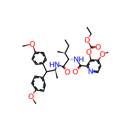 CCOC(=O)Oc1c(OC)ccnc1C(=O)N[C@H](C(=O)N[C@@H](C)C(c1ccc(OC)cc1)c1ccc(OC)cc1)[C@@H](C)CC